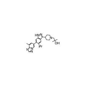 Cc1cc(-c2cc3[nH]nc(C4CCN(CC(C)(C)O)CC4)c3cc2C(C)C)cn2ncnc12